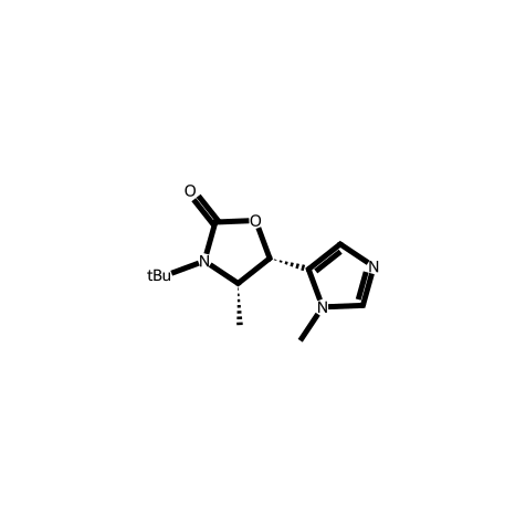 C[C@H]1[C@@H](c2cncn2C)OC(=O)N1C(C)(C)C